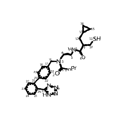 CCCC(=O)N(CCNC(=O)C(CS)CC1CC1)Cc1ccc(-c2ccccc2-c2nnn[nH]2)cc1